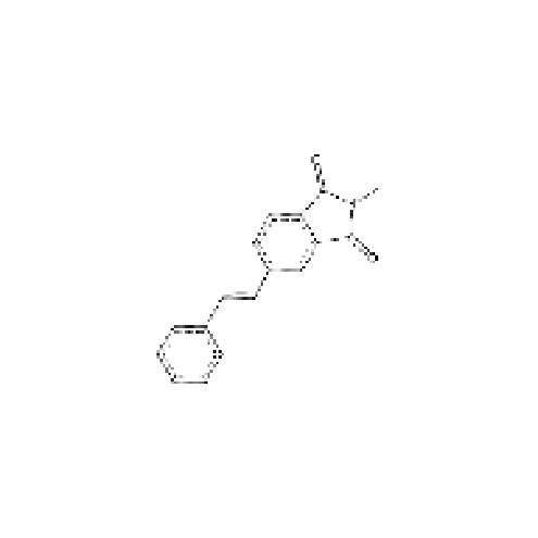 CN1C(=O)c2ccc(/C=C/c3ccccc3)cc2C1=O